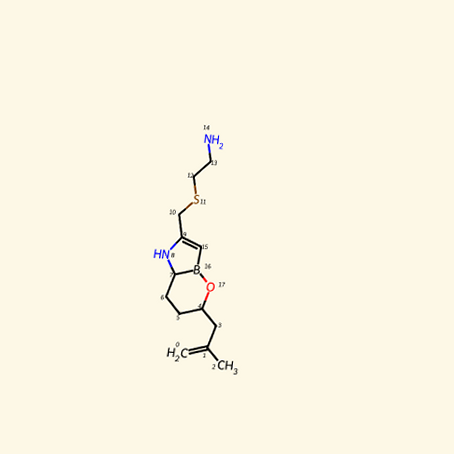 C=C(C)CC1CCC2NC(CSCCN)=CB2O1